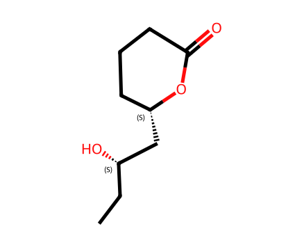 CC[C@H](O)C[C@@H]1CCCC(=O)O1